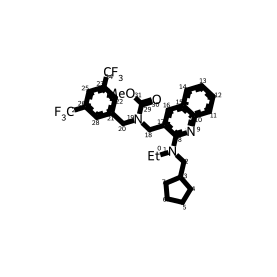 CCN(CC1CCCC1)c1nc2ccccc2cc1CN(Cc1cc(C(F)(F)F)cc(C(F)(F)F)c1)C(=O)OC